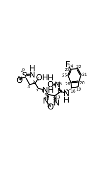 CS(=N)(=O)CC(O)CNc1nonc1C(=NO)N[C@H]1Cc2ccc(F)cc21